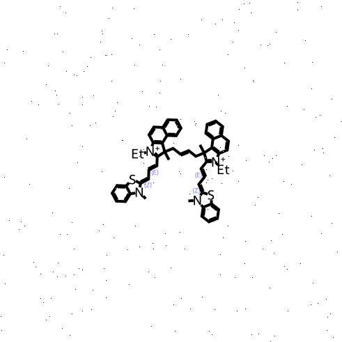 CC[N+]1=C(/C=C/C=C2\Sc3ccccc3N2C)C(C)(CC=CCC2(C)C(/C=C/C=C3\Sc4ccccc4N3C)=[N+](CC)c3ccc4ccccc4c32)c2c1ccc1ccccc21